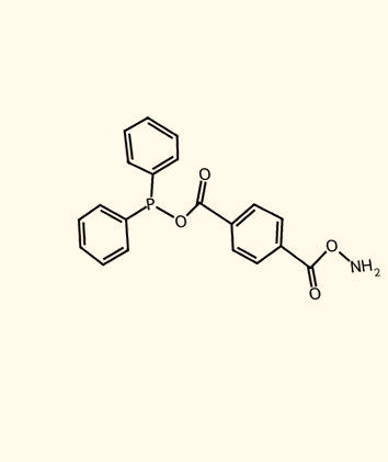 NOC(=O)c1ccc(C(=O)OP(c2ccccc2)c2ccccc2)cc1